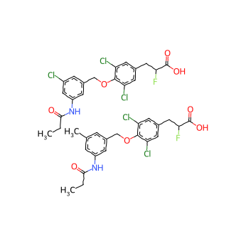 CCC(=O)Nc1cc(C)cc(COc2c(Cl)cc(CC(F)C(=O)O)cc2Cl)c1.CCC(=O)Nc1cc(Cl)cc(COc2c(Cl)cc(CC(F)C(=O)O)cc2Cl)c1